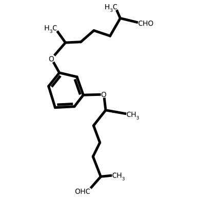 CC(C=O)CCCC(C)Oc1cccc(OC(C)CCCC(C)C=O)c1